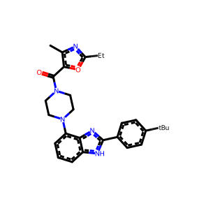 CCc1nc(C)c(C(=O)N2CCN(c3cccc4[nH]c(-c5ccc(C(C)(C)C)cc5)nc34)CC2)o1